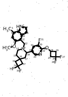 COc1cc(C)c2[nH]ccc2c1CN1CCC2(CC1c1cnc(OC3CC(F)(F)C3)c(F)c1)CC(F)(F)C2